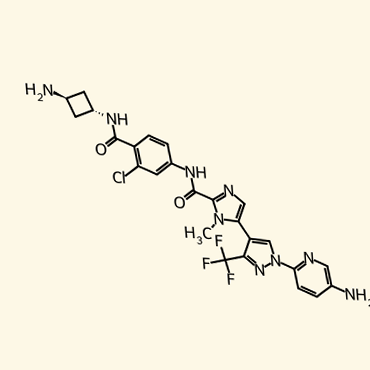 Cn1c(-c2cn(-c3ccc(N)cn3)nc2C(F)(F)F)cnc1C(=O)Nc1ccc(C(=O)N[C@H]2C[C@H](N)C2)c(Cl)c1